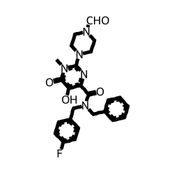 Cn1c(N2CCN(C=O)CC2)nc(C(=O)N(Cc2ccccc2)Cc2ccc(F)cc2)c(O)c1=O